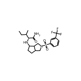 CCC(C)[C@H](NC1CCC2CN(S(=O)(=O)c3cccc(C(F)(F)F)c3)CC21)C(N)=O